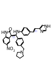 O=C1Nc2ccc([N+](=O)[O-])cc2/C1=C(/Nc1ccc(/C=C/c2c[nH]cn2)cc1)c1ccc(CN2CCCC2)cc1